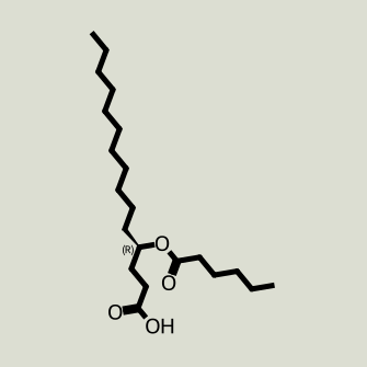 CCCCCCCCCCC[C@H](CCC(=O)O)OC(=O)CCCCC